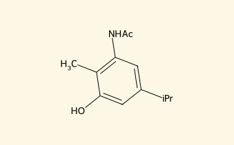 CC(=O)Nc1cc(C(C)C)cc(O)c1C